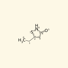 CCc1cc(=O)[nH]s1